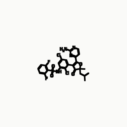 CC(C)CC1(C)OC(c2ccnc(N)n2)=C(c2cc(Cl)cc(NS(=O)(=O)c3c(F)cccc3F)c2Cl)C1=O